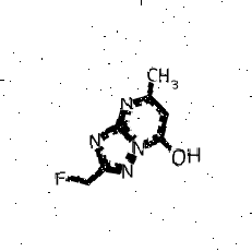 Cc1cc(O)n2nc(CF)nc2n1